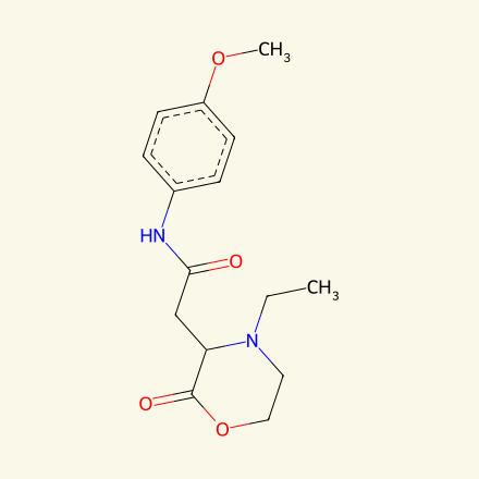 CCN1CCOC(=O)C1CC(=O)Nc1ccc(OC)cc1